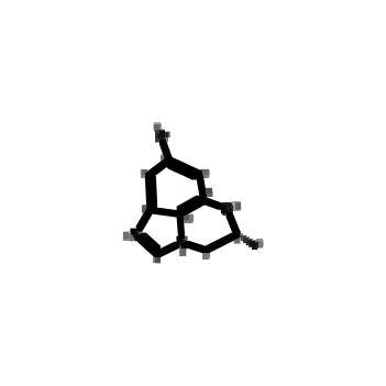 C[C@@H]1Cn2cnc3cc(Br)cc(c32)O1